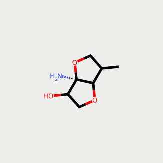 CC1CO[C@]2(N)C(O)COC12